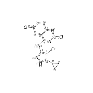 Fc1c(Nc2nc(Cl)nc3ccc(Cl)cc23)n[nH]c1C1CC1